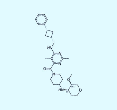 CO[C@H]1COCC[C@H]1NC1CCN(C(=O)c2nc(C)nc(NC[C@H]3C[C@@H](c4ccccc4)C3)c2C)CC1